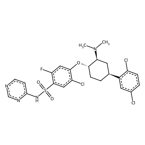 CN(C)[C@H]1C[C@@H](c2cc(Cl)ccc2Cl)CC[C@@H]1Oc1cc(F)c(S(=O)(=O)Nc2ccncn2)cc1Cl